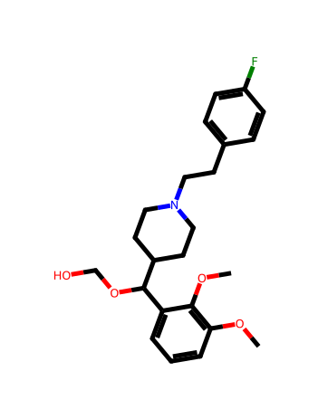 COc1cccc(C(OCO)C2CCN(CCc3ccc(F)cc3)CC2)c1OC